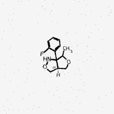 CC1OC[C@H]2CONC12c1ccccc1F